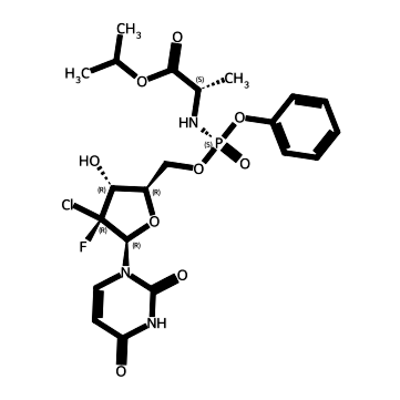 CC(C)OC(=O)[C@H](C)N[P@](=O)(OC[C@H]1O[C@@H](n2ccc(=O)[nH]c2=O)[C@](F)(Cl)[C@@H]1O)Oc1ccccc1